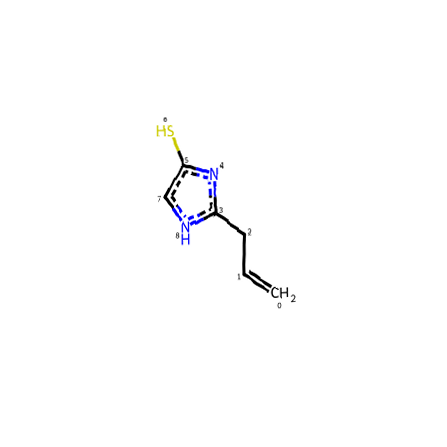 C=CCc1nc(S)c[nH]1